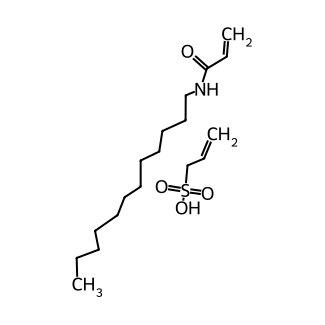 C=CC(=O)NCCCCCCCCCCCC.C=CCS(=O)(=O)O